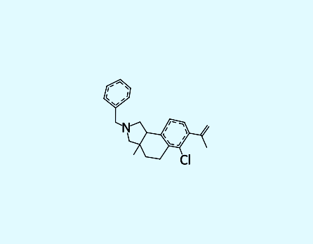 C=C(C)c1ccc2c(c1Cl)CCC1(C)CN(Cc3ccccc3)CC21